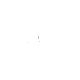 O=C(NCc1cc(C2CC2)ccc1F)[C@](O)(c1ccc(F)cc1)C(F)(F)F